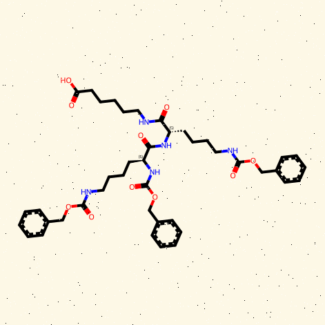 O=C(O)CCCCCNC(=O)[C@H](CCCCNC(=O)OCc1ccccc1)NC(=O)[C@H](CCCCNC(=O)OCc1ccccc1)NC(=O)OCc1ccccc1